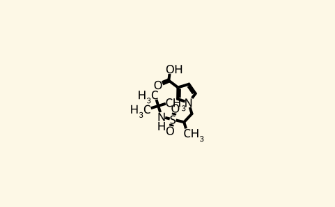 CC(Cn1ccc(C(=O)O)c1)S(=O)(=O)NC(C)(C)C